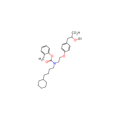 CCOC(Cc1ccc(OCCN(CCCCC2CCCCC2)C(=O)Oc2ccccc2C)cc1)C(=O)O